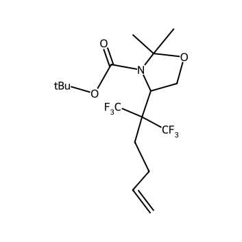 C=CCCC(C1COC(C)(C)N1C(=O)OC(C)(C)C)(C(F)(F)F)C(F)(F)F